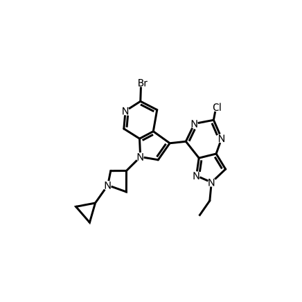 CCn1cc2nc(Cl)nc(-c3cn(C4CN(C5CC5)C4)c4cnc(Br)cc34)c2n1